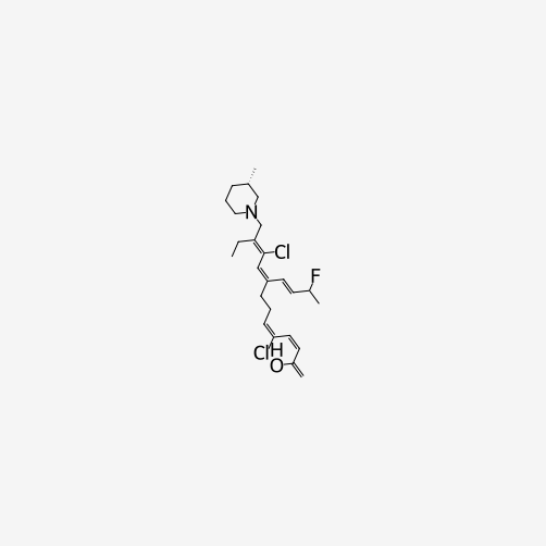 C=C(O)/C=C\C(Cl)=C/CCC(=C/C(Cl)=C(\CC)CN1CCC[C@H](C)C1)/C=C/C(C)F